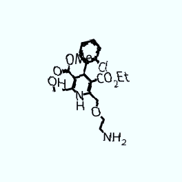 CCOC(=O)C1=C(COCCN)NC(C)=C(C(=O)OC)C1c1ccccc1Cl.CO